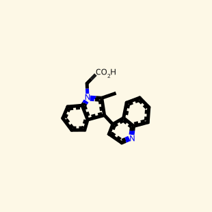 Cc1c(-c2ccnc3ccccc23)c2ccccc2n1CC(=O)O